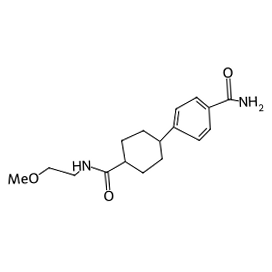 COCCNC(=O)C1CCC(c2ccc(C(N)=O)cc2)CC1